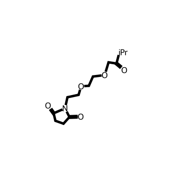 CC(C)C(=O)COCCOCCN1C(=O)CCC1=O